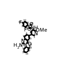 COc1ncc(-c2ccc3nc(N)n(-c4ccccc4F)c(=O)c3c2)cc1NS(=O)(=O)c1ccc(F)cc1F